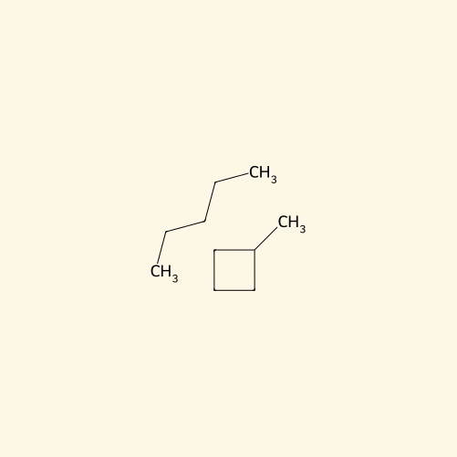 CC1CCC1.CCCCC